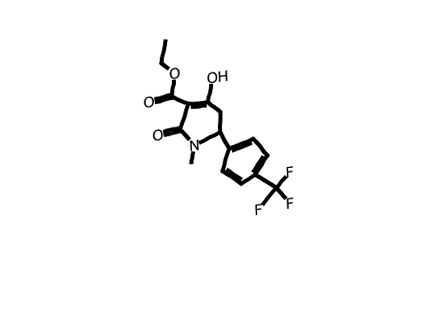 CCOC(=O)C1=C(O)CC(c2ccc(C(F)(F)F)cc2)N(C)C1=O